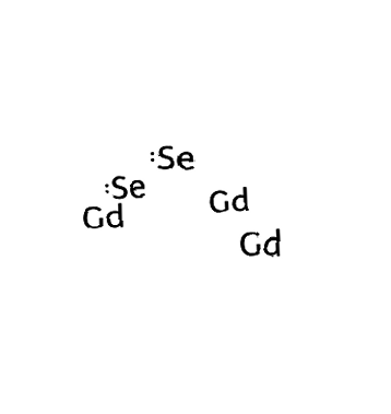 [Gd].[Gd].[Gd].[Se].[Se]